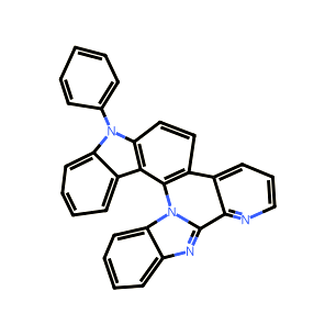 c1ccc(-n2c3ccccc3c3c2ccc2c4cccnc4c4nc5ccccc5n4c23)cc1